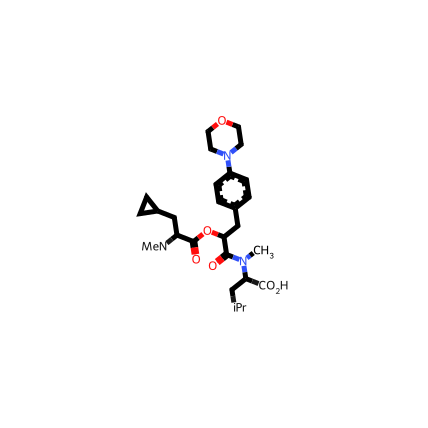 CNC(CC1CC1)C(=O)OC(Cc1ccc(N2CCOCC2)cc1)C(=O)N(C)C(CC(C)C)C(=O)O